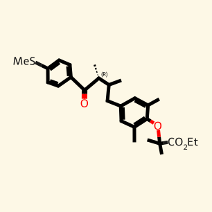 CCOC(=O)C(C)(C)Oc1c(C)cc(CC(C)[C@@H](C)C(=O)c2ccc(SC)cc2)cc1C